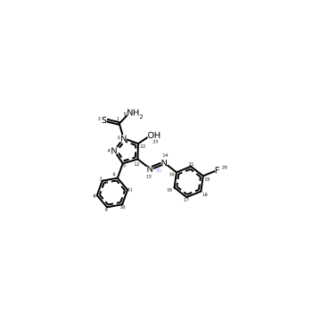 NC(=S)n1nc(-c2ccccc2)c(/N=N/c2cccc(F)c2)c1O